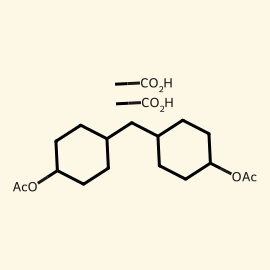 CC(=O)O.CC(=O)O.CC(=O)OC1CCC(CC2CCC(OC(C)=O)CC2)CC1